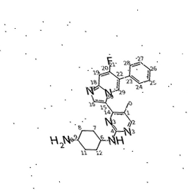 Cc1cnc(NC2CCC(N)CC2)nc1-c1cnc2cc(F)c(-c3ccccc3)cn12